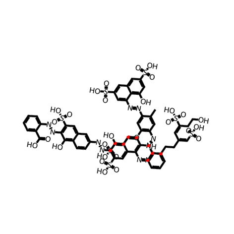 Cc1cc(N=NC(CCCC(=C/S(=O)(=O)O)/C=C(\CCO)S(=O)(=O)O)/N=N\c2c(Nc3ccccc3)ccc3c(O)c(N=Nc4ccc5c(O)c(N=Nc6ccccc6C(=O)O)c(S(=O)(=O)O)cc5c4)c(S(=O)(=O)O)cc23)c(OCCCS(=O)(=O)O)cc1N=Nc1cc(S(=O)(=O)O)cc2cc(S(=O)(=O)O)cc(O)c12